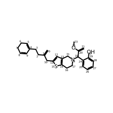 C=C(CCC1=CCCC=C1)Cc1cc2c(s1)CCN(C(C(=C)OC)c1ccccc1O)C2